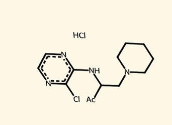 CC(=O)C(CN1CCCCC1)Nc1nccnc1Cl.Cl